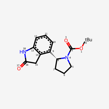 CC(C)(C)OC(=O)N1CCC[C@@H]1c1cccc2c1CC(=O)N2